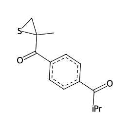 CC(C)C(=O)c1ccc(C(=O)C2(C)CS2)cc1